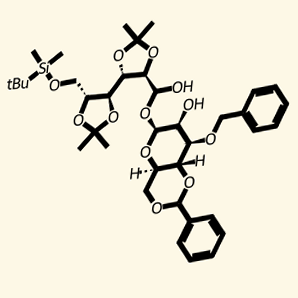 CC1(C)O[C@H]([C@@H]2OC(C)(C)O[C@H]2C(O)O[C@@H]2O[C@@H]3COC(c4ccccc4)O[C@H]3[C@H](OCc3ccccc3)[C@@H]2O)[C@@H](CO[Si](C)(C)C(C)(C)C)O1